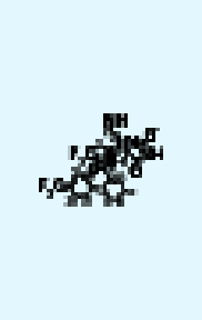 N=C/C=C(\NCC(F)(F)F)C1(CNC(=O)c2ccccc2-c2ccc(C(F)(F)F)cc2)NC(=O)NC1=O